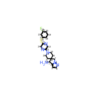 NC1c2ccnn2CC12CCN(c1cnc(Sc3cccc(F)c3)cn1)CC2